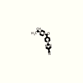 CC(C)N1CCN(C(=O)C2CCN(c3ncc(C#N)cn3)CC2)CC1